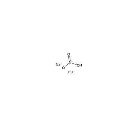 O=[N+]([O-])O.[Na+].[OH-]